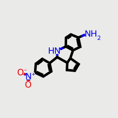 Nc1ccc2c(c1)C1C=CCC1C(c1ccc([N+](=O)[O-])cc1)N2